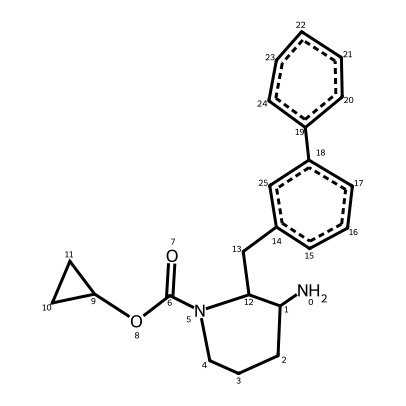 NC1CCCN(C(=O)OC2CC2)C1Cc1cccc(-c2ccccc2)c1